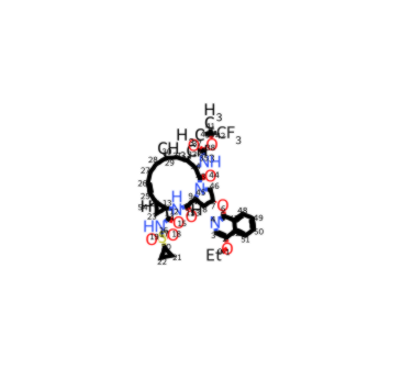 CCOc1cnc(O[C@@H]2C[C@H]3C(=O)N[C@]4(C(=O)NS(=O)(=O)C5CC5)C[C@H]4/C=C\CC[C@@H](C)C[C@@H](C)[C@H](NC(=O)OC(C)(C)C(F)(F)F)C(=O)N3C2)c2ccccc12